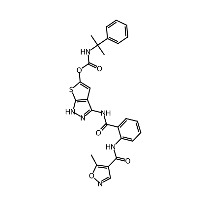 Cc1oncc1C(=O)Nc1ccccc1C(=O)Nc1n[nH]c2sc(OC(=O)NC(C)(C)c3ccccc3)cc12